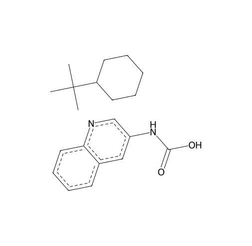 CC(C)(C)C1CCCCC1.O=C(O)Nc1cnc2ccccc2c1